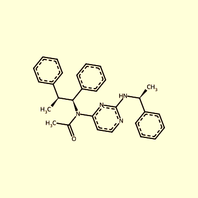 CC(=O)N(c1ccnc(N[C@@H](C)c2ccccc2)n1)[C@H](c1ccccc1)[C@@H](C)c1ccccc1